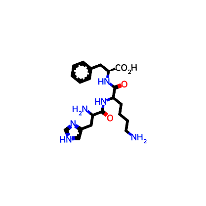 NCCCCC(NC(=O)C(N)Cc1c[nH]cn1)C(=O)N[C@@H](Cc1ccccc1)C(=O)O